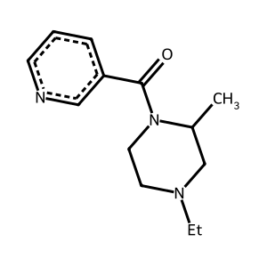 CCN1CCN(C(=O)c2cccnc2)C(C)C1